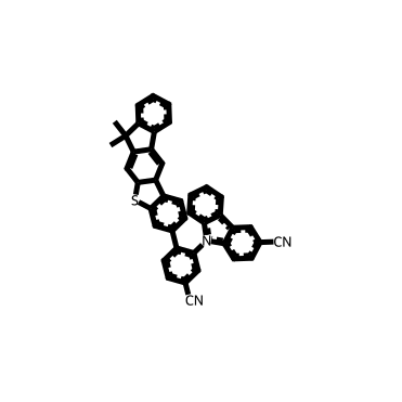 CC1(C)C2=CC3Sc4cc(-c5ccc(C#N)cc5-n5c6ccccc6c6cc(C#N)ccc65)ccc4C3C=C2c2ccccc21